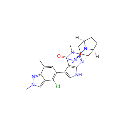 Cc1cc(-c2c[nH]c3nc(N4[C@@H]5CC[C@H]4C[C@@H](N)C5)n(C)c(=O)c23)c(Cl)c2cn(C)nc12